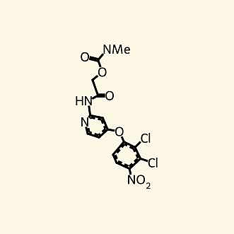 CNC(=O)OCC(=O)Nc1cc(Oc2ccc([N+](=O)[O-])c(Cl)c2Cl)ccn1